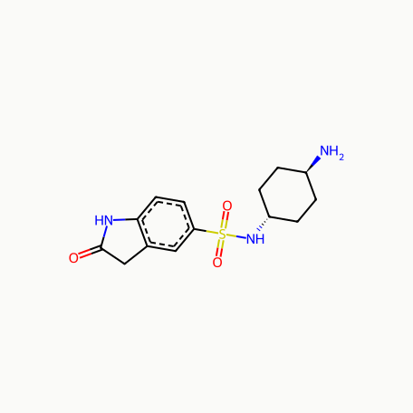 N[C@H]1CC[C@H](NS(=O)(=O)c2ccc3c(c2)CC(=O)N3)CC1